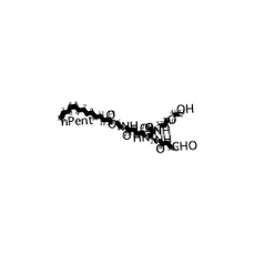 CCCCC/C=C\C/C=C\CCCCCCCC(=O)OCCNC(=O)CCC(=O)N[C@@H](CNC(=O)CCC=O)C(=O)NCCCOCCO